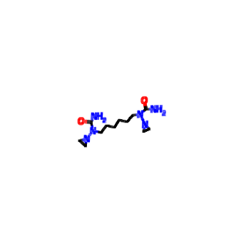 NC(=O)N(CCCCCCN(C(N)=O)N1CC1)N1CC1